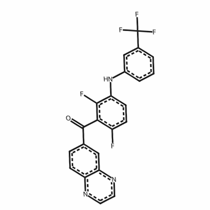 O=C(c1ccc2nccnc2c1)c1c(F)ccc(Nc2cccc(C(F)(F)F)c2)c1F